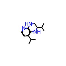 CC(C)c1ccnc2c1NC(C(C)C)CN2